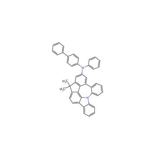 CC1(C)c2cc(N(c3ccccc3)c3ccc(-c4ccccc4)cc3)cc3c2-c2c1ccc1c4ccccc4n(c21)-c1ccccc1-3